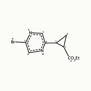 CCOC(=O)C1CC1c1cnc(Br)cn1